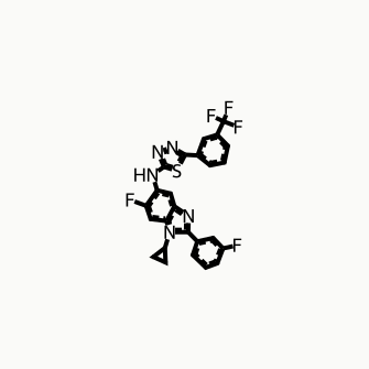 Fc1cccc(-c2nc3cc(Nc4nnc(-c5cccc(C(F)(F)F)c5)s4)c(F)cc3n2C2CC2)c1